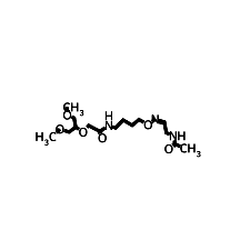 COCC(COC)OCC(=O)NCCCCO/N=C\CNC(C)=O